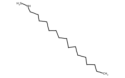 CCCCCCCCCCCCCCCCN[SiH3]